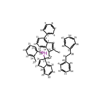 CC1=Cc2c(-c3ccccc3)cccc2[CH]1[Zr][C]1(Pc2ccccc2C)C=Cc2ccccc21.c1ccc(CCc2ccccc2)cc1